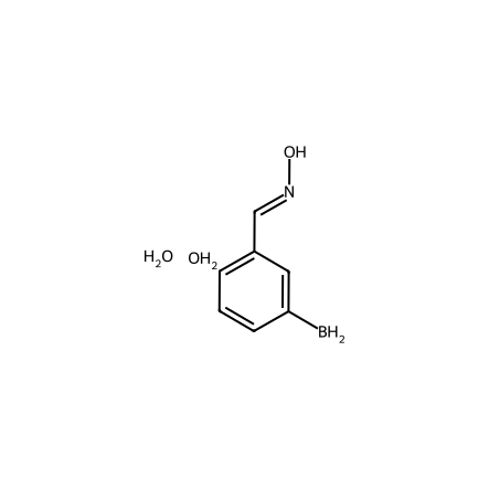 Bc1cccc(C=NO)c1.O.O